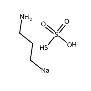 NCC[CH2][Na].O=S(=O)(O)S